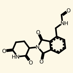 O=CNCc1cccc2c1C(=O)N(C1CCC(=O)NC1=O)C2=O